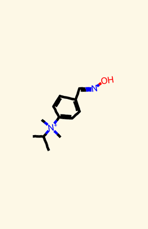 CC(C)[N+](C)(C)c1ccc(C=NO)cc1